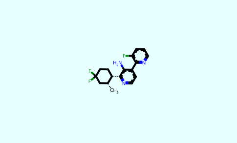 C[C@@H]1CC(F)(F)CC[C@@H]1c1nccc(-c2ncccc2F)c1N